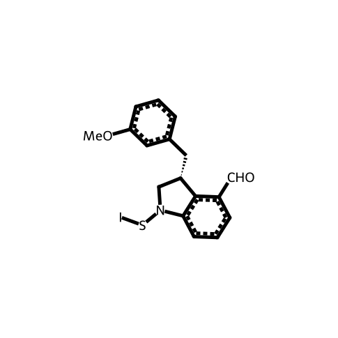 COc1cccc(C[C@H]2CN(SI)c3cccc(C=O)c32)c1